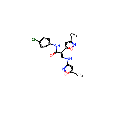 Cc1cc(/C(=C\Nc2cc(C)on2)C(=O)Nc2ccc(Cl)cc2)on1